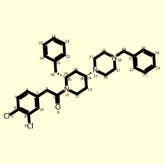 O=C(Cc1ccc(Cl)c(Cl)c1)N1CC[C@@H](N2CCN(Cc3ccccc3)CC2)C[C@H]1Cc1ccccc1